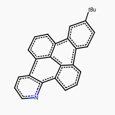 CC(C)(C)c1ccc2c(c1)c1cccc3c4cccnc4c4cccc2c4c13